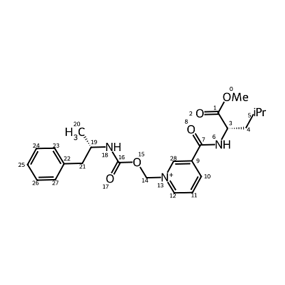 COC(=O)[C@H](CC(C)C)NC(=O)c1ccc[n+](COC(=O)N[C@@H](C)Cc2ccccc2)c1